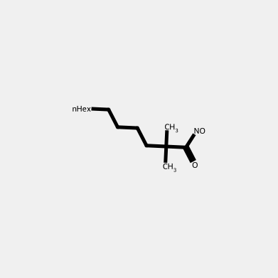 CCCCCCCCCCC(C)(C)C(=O)N=O